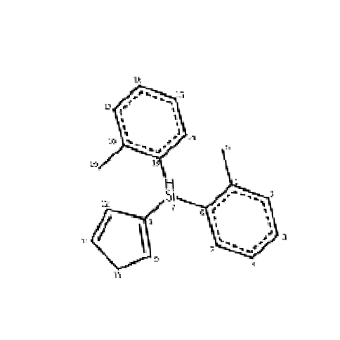 Cc1ccccc1[SiH](C1=[C]CC=C1)c1ccccc1C